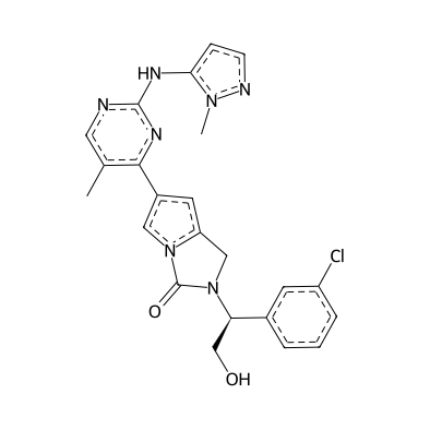 Cc1cnc(Nc2ccnn2C)nc1-c1cc2n(c1)C(=O)N([C@H](CO)c1cccc(Cl)c1)C2